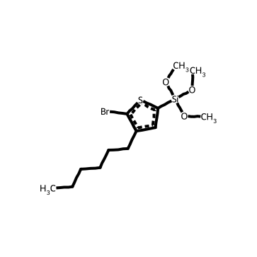 CCCCCCc1cc([Si](OC)(OC)OC)sc1Br